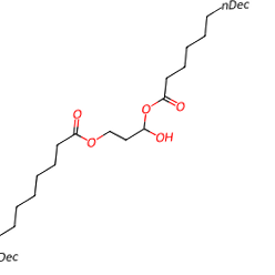 CCCCCCCCCCCCCCCCCC(=O)OCCC(O)OC(=O)CCCCCCCCCCCCCCC